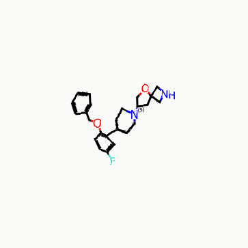 Fc1ccc(OCc2ccccc2)c(C2CCN([C@@H]3COC4(CNC4)C3)CC2)c1